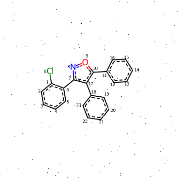 Clc1ccccc1-c1noc(-c2ccccc2)c1-c1ccccc1